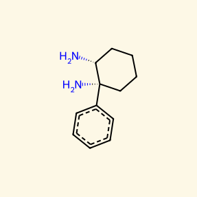 N[C@@H]1CCCC[C@@]1(N)c1ccccc1